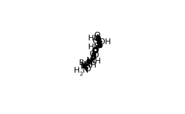 Cn1ncc(Nc2nc(NC3CCN(S(=O)(=O)C4CCCC(Nc5cccc6c5CN(C5CCC(=O)NC5=O)C6O)CCC4)CC3)ncc2Br)c1C(N)=O